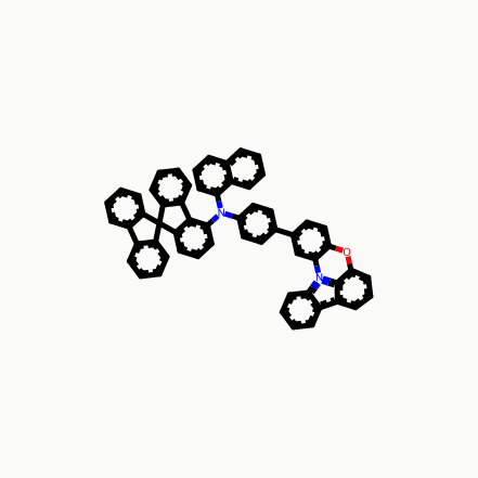 c1ccc2c(c1)-c1ccccc1C21c2ccccc2-c2c(N(c3ccc(-c4ccc5c(c4)-n4c6ccccc6c6cccc(c64)O5)cc3)c3cccc4ccccc34)cccc21